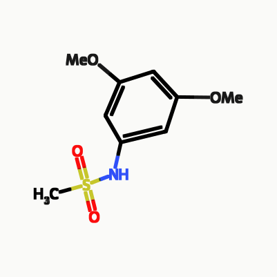 COc1cc(NS(C)(=O)=O)cc(OC)c1